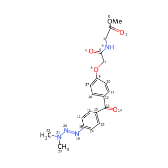 COC(=O)CNC(=O)COc1ccc(C(=O)c2ccc(N=NN(C)C)cc2)cc1